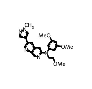 COCCN(c1cc(OC)cc(OC)c1)c1cc2cc(-c3cnn(C)c3)cnc2cn1